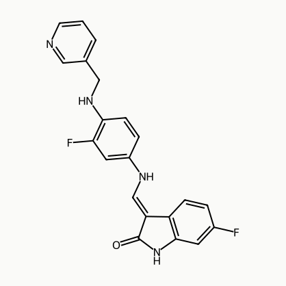 O=C1Nc2cc(F)ccc2/C1=C\Nc1ccc(NCc2cccnc2)c(F)c1